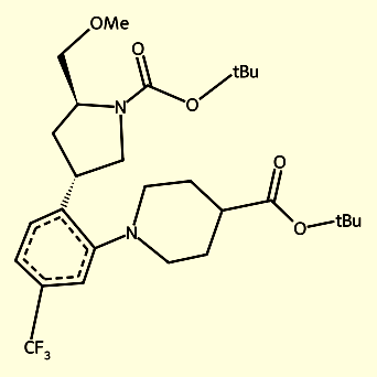 COC[C@@H]1C[C@@H](c2ccc(C(F)(F)F)cc2N2CCC(C(=O)OC(C)(C)C)CC2)CN1C(=O)OC(C)(C)C